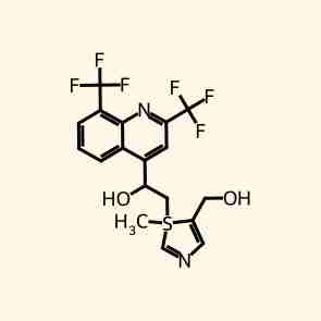 CS1(CC(O)c2cc(C(F)(F)F)nc3c(C(F)(F)F)cccc23)C=NC=C1CO